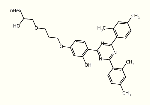 CCCCCCC(O)COCCCOc1ccc(-c2nc(-c3ccc(C)cc3C)nc(-c3ccc(C)cc3C)n2)c(O)c1